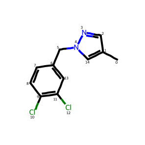 Cc1cnn(Cc2ccc(Cl)c(Cl)c2)c1